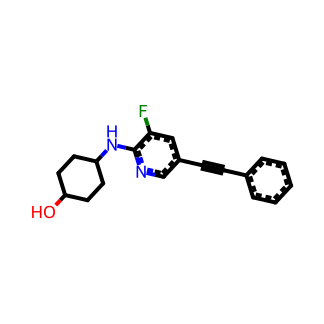 OC1CCC(Nc2ncc(C#Cc3ccccc3)cc2F)CC1